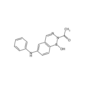 CC(=O)N1N=Cc2cc(Nc3ccccc3)ccc2B1O